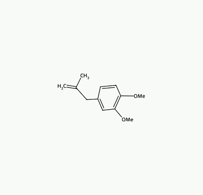 C=C(C)Cc1ccc(OC)c(OC)c1